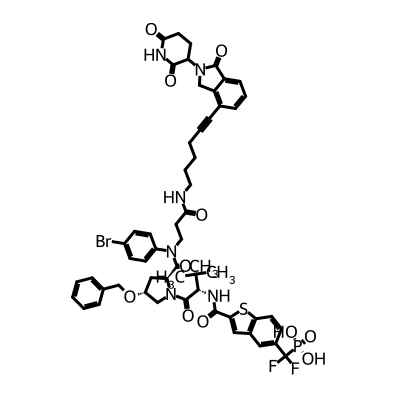 CC(C)(C)[C@H](NC(=O)c1cc2cc(C(F)(F)P(=O)(O)O)ccc2s1)C(=O)N1C[C@H](OCc2ccccc2)C[C@H]1C(=O)N(CCC(=O)NCCCCC#Cc1cccc2c1CN(C1CCC(=O)NC1=O)C2=O)c1ccc(Br)cc1